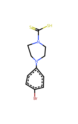 S=C(S)N1CCN(c2ccc(Br)cc2)CC1